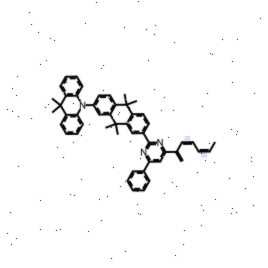 C=C(/C=C\C=C/C)c1cc(-c2ccccc2)nc(-c2ccc3c(c2)C(C)(C)c2cc(N4c5ccccc5C(C)(C)c5ccccc54)ccc2C3(C)C)n1